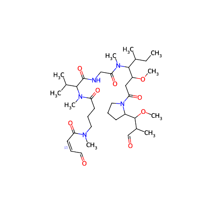 CCC(C)C(C(CC(=O)N1CCCC1C(OC)C(C)C=O)OC)N(C)C(=O)CNC(=O)C(C(C)C)N(C)C(=O)CCCN(C)C(=O)/C=C\C=O